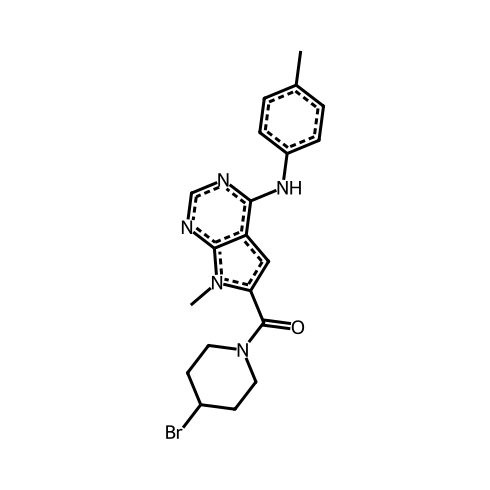 Cc1ccc(Nc2ncnc3c2cc(C(=O)N2CCC(Br)CC2)n3C)cc1